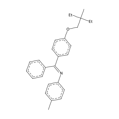 CCC(C)(CC)COc1ccc(C(=Nc2ccc(C)cc2)c2ccccc2)cc1